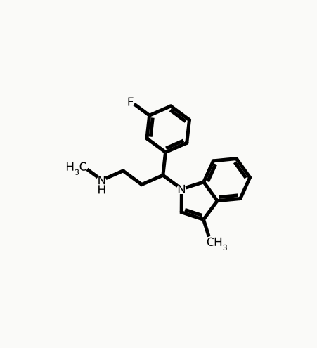 CNCCC(c1cccc(F)c1)n1cc(C)c2ccccc21